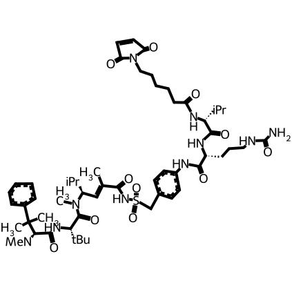 CN[C@H](C(=O)N[C@H](C(=O)N(C)[C@H](C=C(C)C(=O)NS(=O)(=O)Cc1ccc(NC(=O)[C@@H](CCCNC(N)=O)NC(=O)[C@H](NC(=O)CCCCCN2C(=O)C=CC2=O)C(C)C)cc1)C(C)C)C(C)(C)C)C(C)(C)c1ccccc1